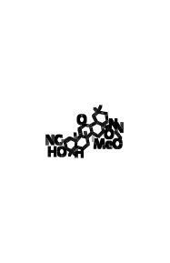 COCc1nnc([C@]23CCC(C)(C)CC2C2C(=O)C=C4[C@@]5(C)C=C(C#N)C(O)C(C)(C)[C@@H]5CC[C@@]4(C)[C@]2(C)CC3)o1